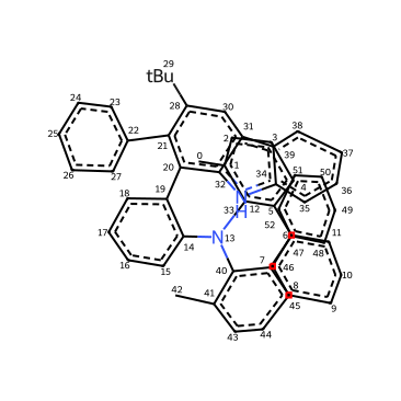 Cc1cccc(-c2ccccc2)c1N(c1ccccc1-c1c(-c2ccccc2)c(C(C)(C)C)cc2c1[nH]c1ccccc12)c1c(C)cccc1-c1ccccc1